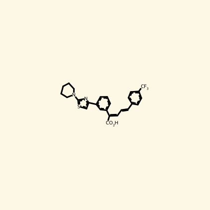 O=C(O)C(=CC=Cc1ccc(C(F)(F)F)cc1)c1cccc(-c2csc(N3CCCCC3)n2)c1